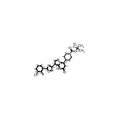 CC(C)(C)OC(=O)N1CCC(c2cc(=O)[nH]c3c(-c4noc(-c5cccc(Cl)c5F)n4)cnn23)CC1